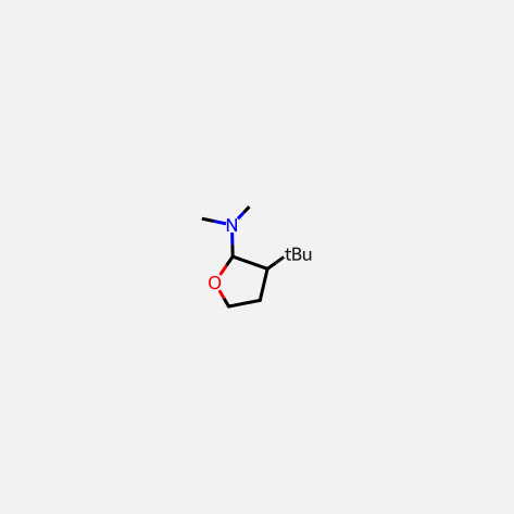 CN(C)C1OCCC1C(C)(C)C